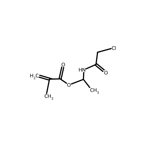 C=C(C)C(=O)OC(C)NC(=O)CCl